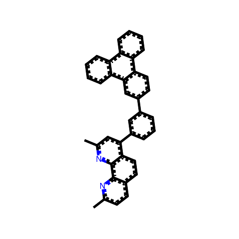 Cc1ccc2ccc3c(-c4cccc(-c5ccc6c7ccccc7c7ccccc7c6c5)c4)cc(C)nc3c2n1